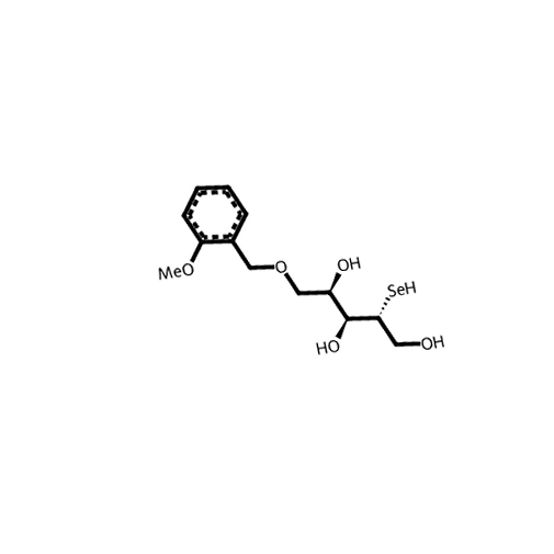 COc1ccccc1COC[C@@H](O)[C@H](O)[C@H]([SeH])CO